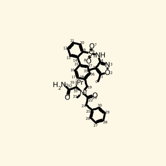 Cc1onc(NS(=O)(=O)c2ccccc2-c2ccc(C[N+](C)(C(=O)Cc3ccccc3)[C@H](C(N)=O)C(C)C)cc2)c1C